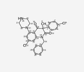 CC1(c2ccc(Cl)cc2)C(=O)c2c(N3CCNCC3)cc(Cl)cc2N(Cc2ccccc2)C1=O